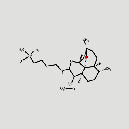 C[C@@H]1CC[C@H]2[C@@H](C)C(NCCCC[N+](C)(C)C)O[C@@H]3O[C@]4(C)CC[C@@H]1[C@]32OO4.O=[N+]([O-])[O-]